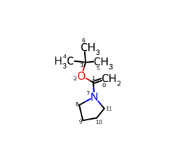 C=C(OC(C)(C)C)N1CCCC1